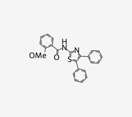 COc1ccccc1C(=O)Nc1nc(-c2ccccc2)c(-c2ccccc2)s1